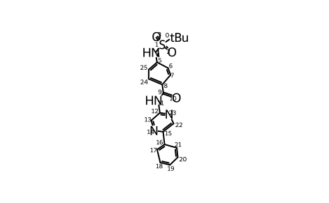 CC(C)(C)S(=O)(=O)Nc1ccc(C(=O)Nc2cnc(-c3ccccc3)cn2)cc1